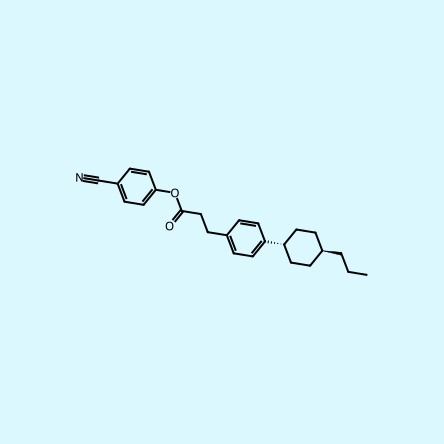 CCC[C@H]1CC[C@H](c2ccc(CCC(=O)Oc3ccc(C#N)cc3)cc2)CC1